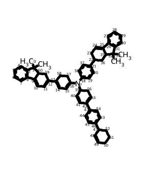 CC1(C)c2ccccc2C2=CC=C(C3=CC=C(N(c4ccc(C5CC=C6c7ccccc7C(C)(C)C6C5)cc4)C4C=CC(c5ccc(C6C=CCCC6)cc5)=CC4)CC3)CC21